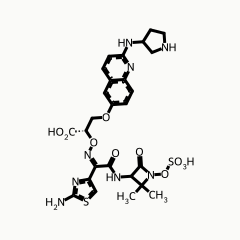 CC1(C)C(NC(=O)/C(=N\O[C@@H](COc2ccc3nc(NC4CCNC4)ccc3c2)C(=O)O)c2csc(N)n2)C(=O)N1OS(=O)(=O)O